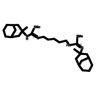 CS/C(=N\CCCCCN/C(=N\C1(C)CC2CCCC(C2)C1)SC)NC1(C)CC2CCCC(C2)C1